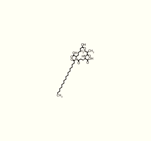 CCCCCCCCCCCCCCCCCC(=O)N(C(=O)CC[C@@H](NC(=O)[C@H](C)N)C(=O)O)C(CCCCC(=O)O)C(=O)O